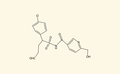 O=CCCC(c1ccc(Cl)cc1)S(=O)(=O)NC(=O)c1ccc(CO)nc1